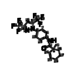 CC1(C(=O)Nc2ccc(-n3nc(C(F)(F)F)cc3C(F)(F)F)cc2)C=CCCC1